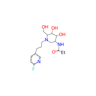 CCC(=O)NC1CN(CCCc2ccc(F)nc2)C(CO)C(O)C1O